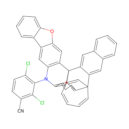 N#Cc1ccc(Cl)c(N2c3cc4c(cc3C35C6=CC(C=CC=C6)(c6cc7ccccc7cc63)c3cccc2c35)oc2ccccc24)c1Cl